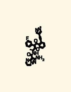 C[C@H](NC(=O)c1c(N)nn2cccnc12)c1oc2cccc(C#Cc3cnn(C)c3)c2c(=O)c1-c1cccc(F)c1